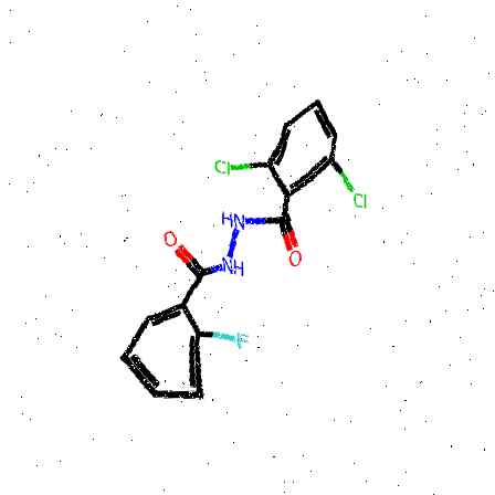 O=C(NNC(=O)c1c(Cl)cccc1Cl)c1ccccc1F